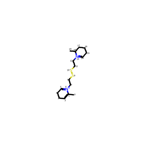 CC1=CCCC=[N+]1CCSSCC[N+]1=CCCCC1C